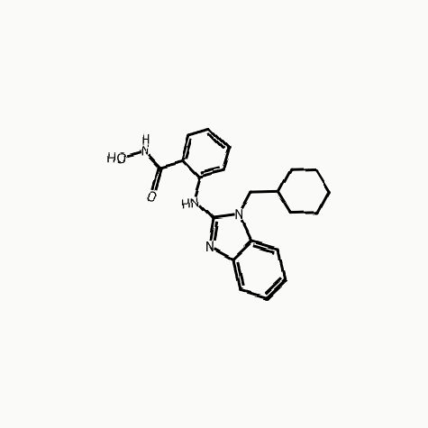 O=C(NO)c1ccccc1Nc1nc2ccccc2n1CC1CCCCC1